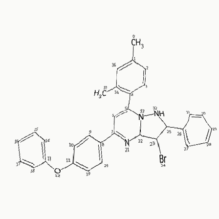 Cc1ccc(C2=CC(c3ccc(Oc4ccccc4)cc3)=NC3C(Br)C(c4ccccc4)NN23)c(C)c1